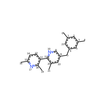 Cc1cc(C)cc(Cc2cnc(-c3ccc(C)nc3C)c(C)c2)c1